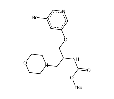 CC(C)(C)OC(=O)NC(COc1cncc(Br)c1)CN1CCOCC1